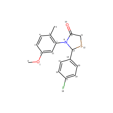 COc1ccc(C)c(N2C(=O)CSC2c2ccc(F)cc2)c1